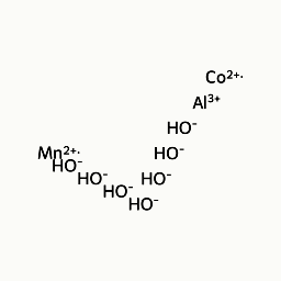 [Al+3].[Co+2].[Mn+2].[OH-].[OH-].[OH-].[OH-].[OH-].[OH-].[OH-]